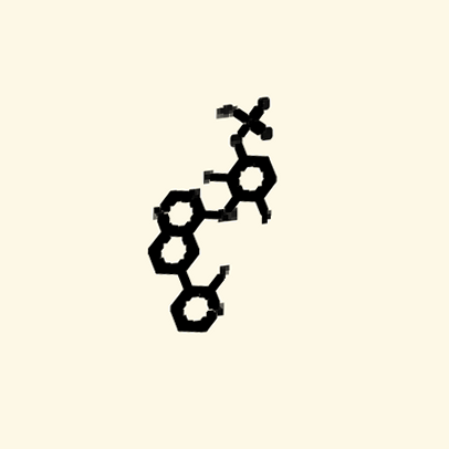 CCCS(=O)(=O)Oc1ccc(F)c(Nc2ncnc3ccc(-c4cccnc4F)cc23)c1F